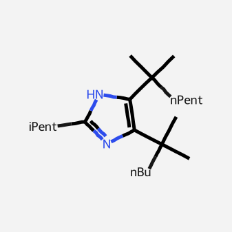 CCCCCC(C)(C)c1[nH]c(C(C)CCC)nc1C(C)(C)CCCC